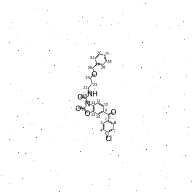 O=C(c1ccc(Cl)cc1)c1ccc2c(c1)oc(=O)n2C(=O)NCCCOCc1ccccc1